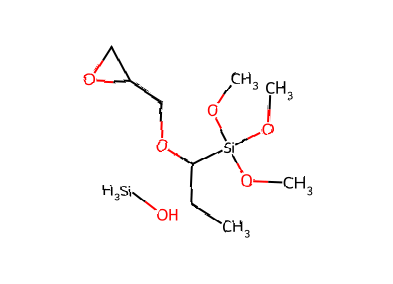 CCC(OCC1CO1)[Si](OC)(OC)OC.O[SiH3]